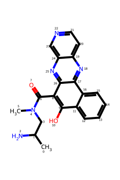 CC(N)CN(C)C(=O)c1c(O)c2ccccc2c2nc3ccncc3nc12